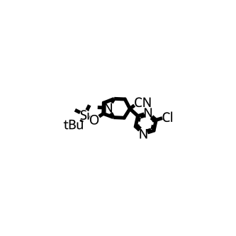 CN1C2CC(O[Si](C)(C)C(C)(C)C)C1CC(C#N)(c1cncc(Cl)n1)C2